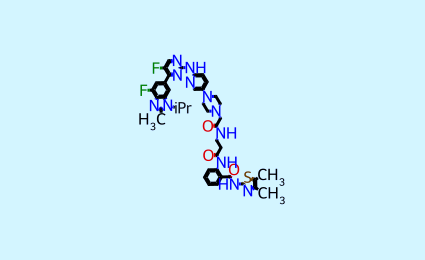 Cc1nc(NC(=O)c2ccccc2NC(=O)CCNC(=O)CN2CCN(c3ccc(Nc4ncc(F)c(-c5cc(F)c6nc(C)n(C(C)C)c6c5)n4)nc3)CC2)sc1C